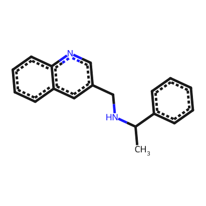 CC(NCc1cnc2ccccc2c1)c1ccccc1